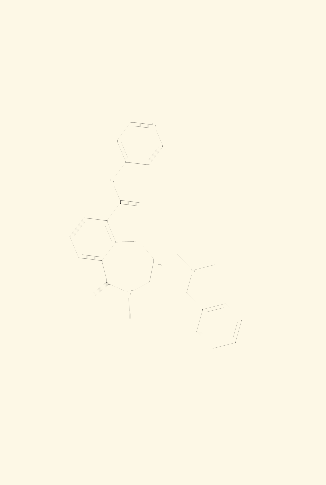 CC(C)N1C[C@@H](CN(C)Cc2ccc(Cl)cc2)Oc2c(C(=O)Nc3ccncc3)cccc2C1=O